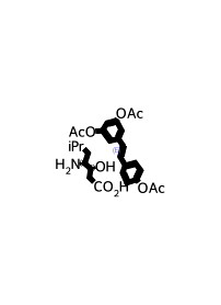 CC(=O)Oc1ccc(/C=C/c2cc(OC(C)=O)cc(OC(C)=O)c2)cc1.CC(C)C[C@H](N)[C@@H](O)CC(=O)O